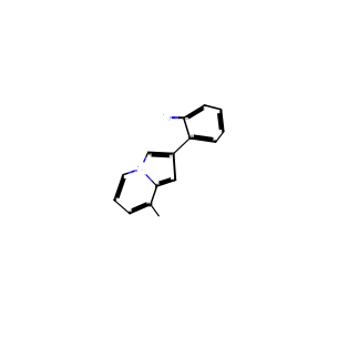 Cc1cccn2cc(-c3ccccc3N)cc12